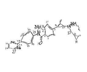 NN(C(=O)c1ccc(C2CC2N(N)CC2CC2)cc1)c1ccc(-c2ncccn2)cc1